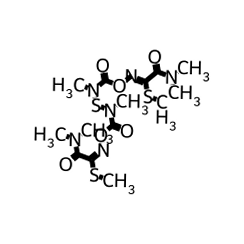 CSC(=NOC(=O)N(C)SN(C)C(=O)ON=C(SC)C(=O)N(C)C)C(=O)N(C)C